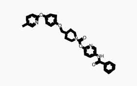 Cc1ccc(Oc2ccc(OCC3CCN(C(=O)Oc4ccc(NC(=O)c5ccccc5)cn4)CC3)cc2)nc1